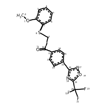 COc1ccccc1SCC(=O)c1ccc(-c2noc(C(F)(F)F)n2)cc1